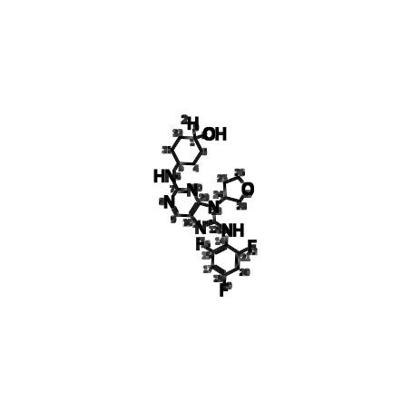 [2H]C1(O)CCC(Nc2ncc3nc(Nc4c(F)cc(F)cc4F)n(C4CCOC4)c3n2)CC1